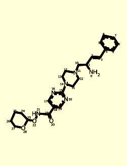 NC(/C=C/c1ccccc1)CN1CCN(c2ncc(C(=O)NOC3CCCCO3)cn2)CC1